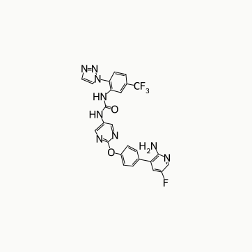 Nc1ncc(F)cc1-c1ccc(Oc2ncc(NC(=O)Nc3cc(C(F)(F)F)ccc3-n3ccnn3)cn2)cc1